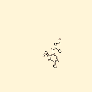 CCOC(=O)Cc1ccc(Cl)cc1OC